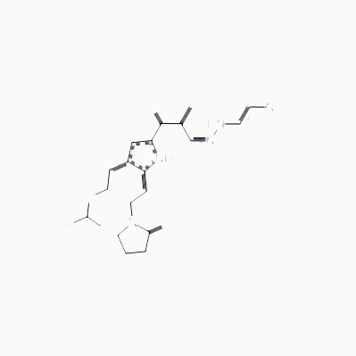 C=C(/C=N\N/C=C/N)C(=O)c1cc(=C/COC(F)F)/c(=C\CN2CCCC2=O)[nH]1